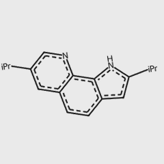 CC(C)c1cnc2c(ccc3cc(C(C)C)[nH]c32)c1